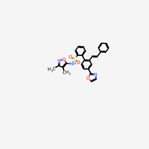 Cc1noc(NS(=O)(=O)c2ccccc2-c2ccc(-c3ncco3)cc2/C=C/c2ccccc2)c1C